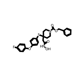 O=C(CC1(Sc2ccc(Oc3ccc(F)cc3)cc2)CCN(C(=O)OCc2ccccc2)CC1)NO